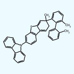 Cc1ccccc1-c1c(C)cccc1C1(C)C=c2sc3cc(-n4c5ccccc5c5ccccc54)ccc3c2=CC1